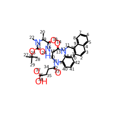 Cc1ccc2ccccc2c1CN1C(=O)[C@@H](NC(=O)[C@H](C)N(C)C(=O)OC(C)(C)C)CN(C(=O)CCC(=O)O)c2ccccc21